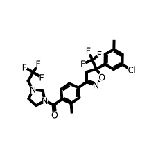 Cc1cc(Cl)cc(C2(C(F)(F)F)CC(c3ccc(C(=O)N4CCN(CC(F)(F)F)C4)c(C)c3)=NO2)c1